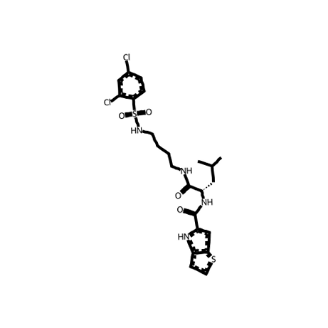 CC(C)C[C@H](NC(=O)c1cc2sccc2[nH]1)C(=O)NCCCCNS(=O)(=O)c1ccc(Cl)cc1Cl